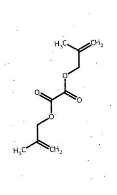 C=C(C)COC(=O)C(=O)OCC(=C)C